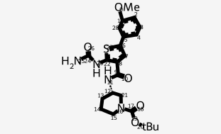 COc1cccc(-c2cc(C(=O)N[C@H]3CCCN(C(=O)OC(C)(C)C)C3)c(NC(N)=O)s2)c1